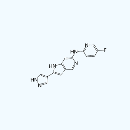 Fc1ccc(Nc2cc3[nH]c(-c4cn[nH]c4)cc3cn2)nc1